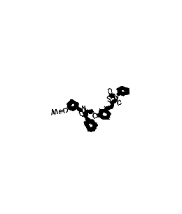 COc1cccc(-c2nc(COC3CCCC(CCC4SC(=O)N(c5ccccc5)C4=O)C3)c(-c3ccccc3)o2)c1